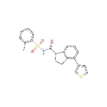 Cc1ccccc1S(=O)(=O)NC(=O)C1CCc2c(-c3ccsc3)cccc21